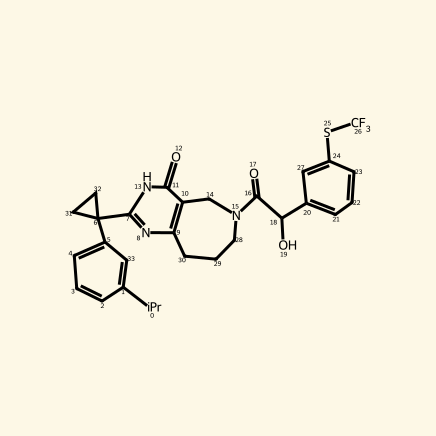 CC(C)c1cccc(C2(c3nc4c(c(=O)[nH]3)CN(C(=O)C(O)c3cccc(SC(F)(F)F)c3)CCC4)CC2)c1